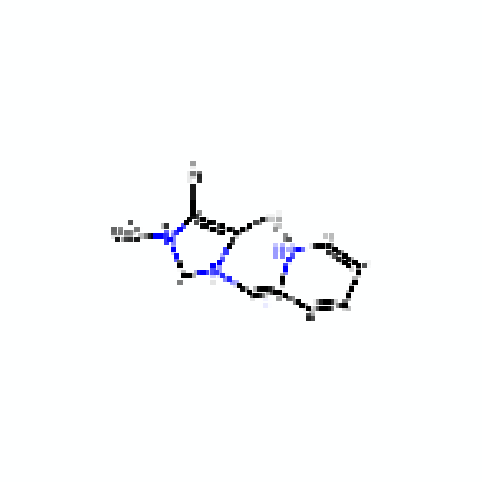 CCC1=C(CC)N(SC)CN1/C=C1/C=CC=CN1